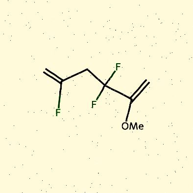 C=C(F)CC(F)(F)C(=C)OC